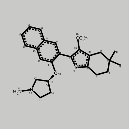 CC1(C)CCc2sc(-c3cc4ccccc4cc3O[C@H]3CCN(N)C3)c(C(=O)O)c2C1